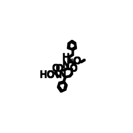 CCOC(=O)[C@H](CCc1ccccc1)NC1CCCC(c2ccccc2)N(CC(=O)O)C1=O